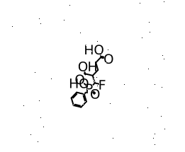 O=C(O)CCC(C(=O)O)C(F)P(=O)(O)c1ccccc1